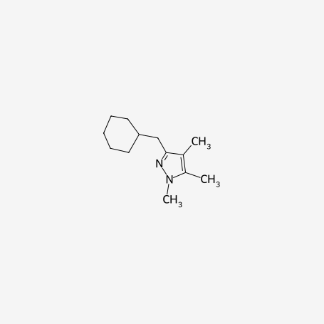 Cc1c(CC2CCCCC2)nn(C)c1C